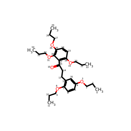 CCCOc1ccc(OCCC)c(CCC(=O)c2c(OCCC)ccc(OCCC)c2OCCC)c1